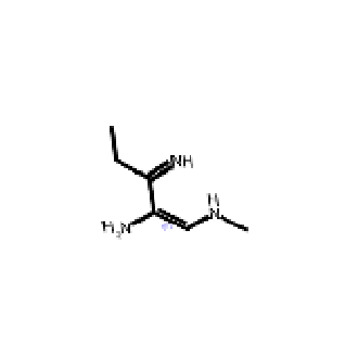 CCC(=N)/C(N)=C\NC